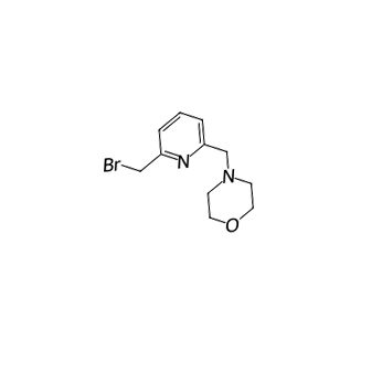 BrCc1cccc(CN2CCOCC2)n1